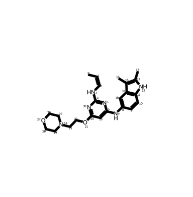 C/C=C\Nc1nc(Nc2ccc3[nH]c(C)c(C)c3c2)cc(OCCN2CCOCC2)n1